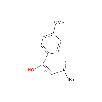 COc1ccc(/C(O)=C\C(=S)C(C)(C)C)cc1